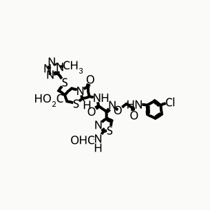 Cn1nnnc1SCC1(C(=O)O)CS[C@@H]2C(NC(=O)C(=NOCC(=O)Nc3cccc(Cl)c3)c3csc(NC=O)n3)C(=O)N2C1